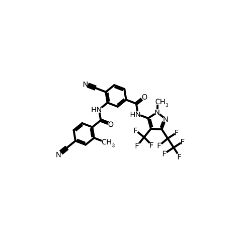 Cc1cc(C#N)ccc1C(=O)Nc1cc(C(=O)Nc2c(C(F)(F)F)c(C(F)(F)C(F)(F)F)nn2C)ccc1C#N